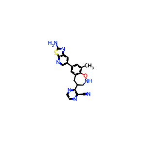 Cc1cc(-c2cnc3sc(N)nc3c2)cc2c1ONCC(c1nccnc1C#N)C2